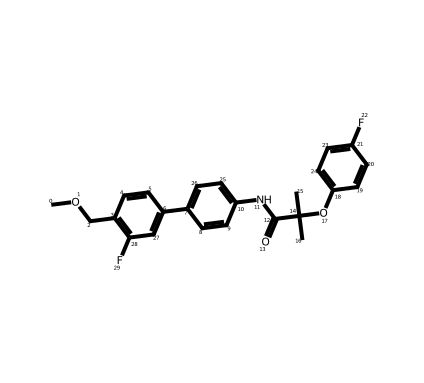 COCc1ccc(-c2ccc(NC(=O)C(C)(C)Oc3ccc(F)cc3)cc2)cc1F